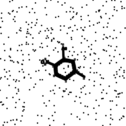 CC(=O)c1cc(C)ccc1[N+](=O)[O-]